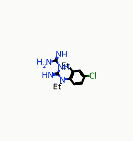 CCc1cc(Cl)ccc1N(CC)C(=N)NC(=N)N